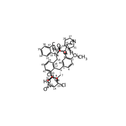 COc1ccc([C@H](Cc2c(Cl)c[n+]([O-])cc2Cl)c2c(CN(C(=O)O[C@H]3CN4CCC3CC4)c3ccccc3C)cccc2C(=O)O)cc1OC